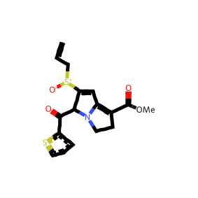 C=CC[S+]([O-])C1=CC2=C(C(=O)OC)CCN2C1C(=O)c1cccs1